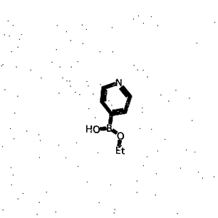 CCOB(O)c1ccncc1